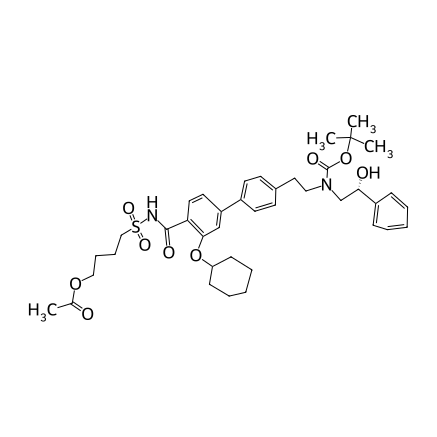 CC(=O)OCCCCS(=O)(=O)NC(=O)c1ccc(-c2ccc(CCN(C[C@H](O)c3ccccc3)C(=O)OC(C)(C)C)cc2)cc1OC1CCCCC1